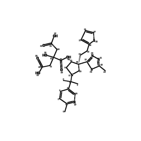 Cc1ccc(C(C)(C)N2CC[C@@](CCc3cccs3)(c3nnc(C)s3)C2)cn1.O=C(O)CC(O)(CC(=O)O)C(=O)O